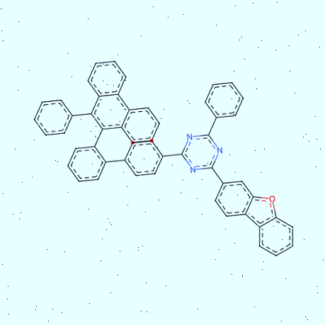 c1ccc(-c2nc(-c3ccc(-c4ccccc4-c4c(-c5ccccc5)c5ccccc5c5ccccc45)cc3)nc(-c3ccc4c(c3)oc3ccccc34)n2)cc1